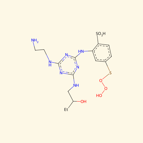 CCC(O)CNc1nc(NCCN)nc(Nc2cc(SOOO)ccc2S(=O)(=O)O)n1